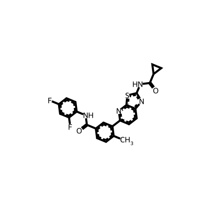 Cc1ccc(C(=O)Nc2ccc(F)cc2F)cc1-c1ccc2nc(NC(=O)C3CC3)sc2n1